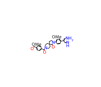 COC(=O)c1ccc(C(=O)N2CCC3(CC2)CCN(c2ccc(/C(C=N)=C/N)c(OC)c2)C3=O)cc1